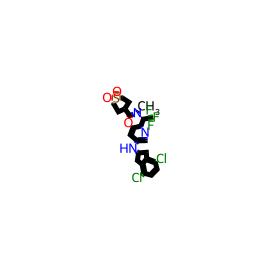 CN(C(=O)C1CCS(=O)(=O)CC1)[C@@H](c1ccc(NC2Cc3c(Cl)ccc(Cl)c3C2)cn1)C(F)(F)F